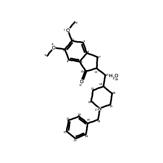 COc1cc2c(cc1OC)C(=O)C(CC1CCN(Cc3ccccc3)CC1)C2.O